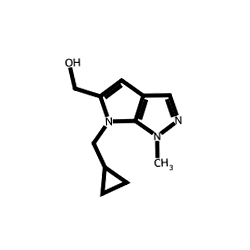 Cn1ncc2cc(CO)n(CC3CC3)c21